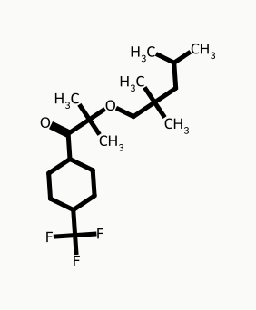 CC(C)CC(C)(C)COC(C)(C)C(=O)C1CCC(C(F)(F)F)CC1